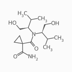 CC(C)[C@H](CO)N(C(=O)C1(C(N)=O)CC1)[C@@H](CO)C(C)C